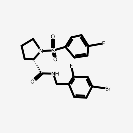 O=C(NCc1ccc(Br)cc1F)[C@@H]1CCCN1S(=O)(=O)c1ccc(F)cc1